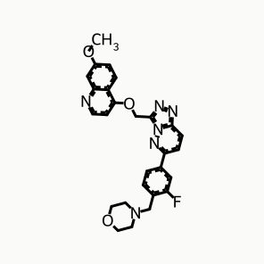 COc1ccc2c(OCc3nnc4ccc(-c5ccc(CN6CCOCC6)c(F)c5)nn34)ccnc2c1